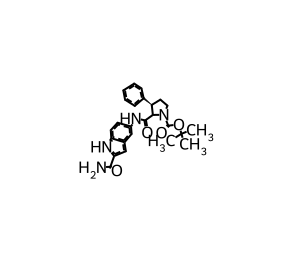 CC(C)(C)OC(=O)N1CC[C@H](c2ccccc2)C1C(=O)Nc1ccc2[nH]c(C(N)=O)cc2c1